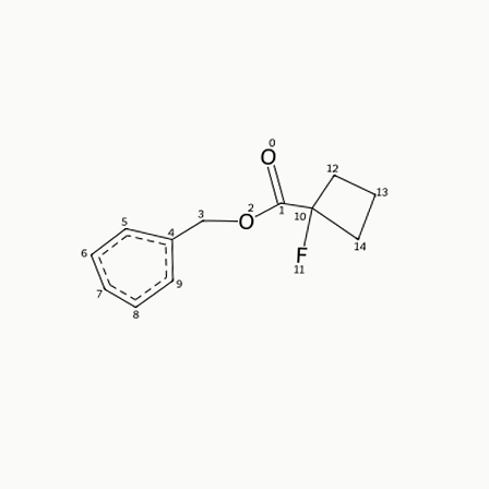 O=C(OCc1ccccc1)C1(F)CCC1